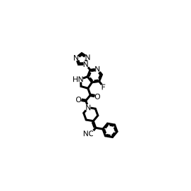 N#CC(=C1CCN(C(=O)C(=O)C2CNc3c(-n4cncn4)ncc(F)c32)CC1)c1ccccc1